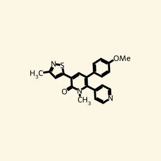 COc1ccc(-c2cc(-c3cc(C)ns3)c(=O)n(C)c2-c2ccncc2)cc1